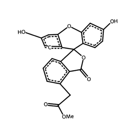 COC(=O)Cc1cccc2c1C(=O)OC21c2ccc(O)cc2Oc2cc(O)ccc21